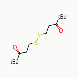 CC(C)(C)C(=O)CCSSCCC(=O)C(C)(C)C